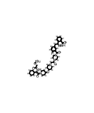 CC(C)(C)OCC(=O)N[C@@H](C(=O)N1CCC(OC2CCN(CC(=O)N3CCN(C(=O)c4cc(Cc5n[nH]c(=O)c6ccccc56)ccc4F)CC3)CC2)CC1)C1CCCCC1